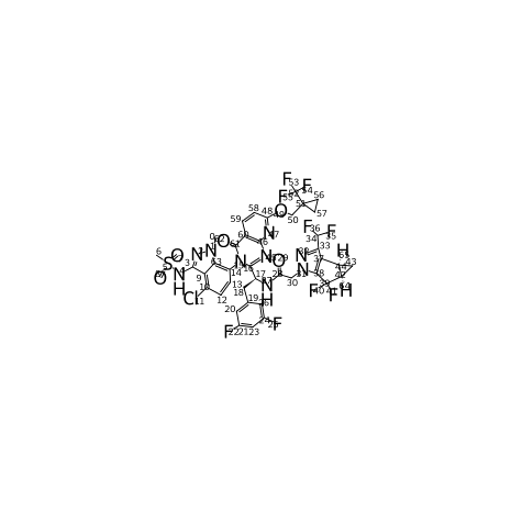 Cn1nc(NS(C)(=O)=O)c2c(Cl)ccc(-n3c([C@H](Cc4cc(F)cc(F)c4)NC(=O)Cn4nc(C(F)F)c5c4C(F)(F)[C@@H]4C[C@H]54)nc4nc(OCC5(C(F)(F)F)CC5)ccc4c3=O)c21